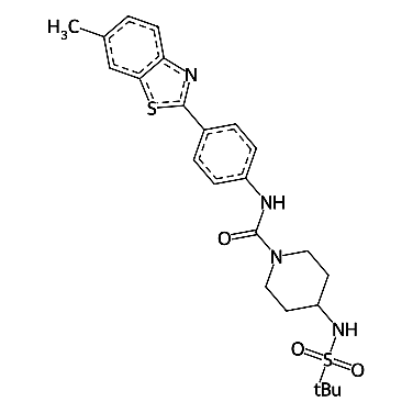 Cc1ccc2nc(-c3ccc(NC(=O)N4CCC(NS(=O)(=O)C(C)(C)C)CC4)cc3)sc2c1